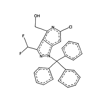 OCc1nc(Cl)cc2c1c(C(F)F)nn2C(c1ccccc1)(c1ccccc1)c1ccccc1